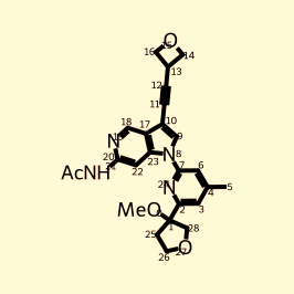 COC1(c2cc(C)cc(-n3cc(C#CC4COC4)c4cnc(NC(C)=O)cc43)n2)CCOC1